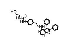 O=C(NCCO)Nc1ccc(CCNc2ncnc3oc(-c4ccccc4)c(-c4ccccc4)c23)cc1